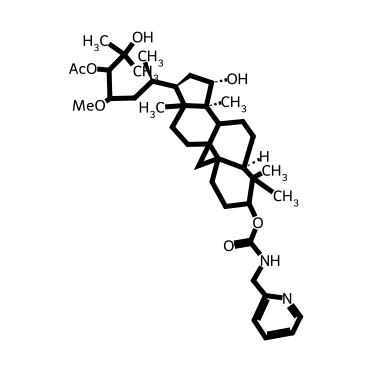 COC(C[C@@H](C)[C@H]1C[C@H](O)[C@@]2(C)C3CC[C@H]4C(C)(C)C(OC(=O)NCc5ccccn5)CCC45CC35CCC12C)C(OC(C)=O)C(C)(C)O